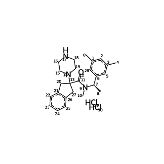 Cc1cc(C)cc([C@@H](C)N(C)C(=O)C2(N3CCNCC3)Cc3ccccc3C2)c1.Cl.Cl